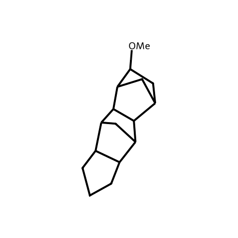 COC1CC2CC1C1C3CC(C4CCCC43)C21